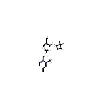 C=C/C=C(\C(=C/C)CNc1ncc(C#N)c(N[C@@H]2C[C@H](O)C2(C)C)n1)C(F)(F)F